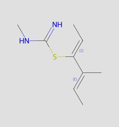 C/C=C(SC(=N)NC)/C(C)=C/C